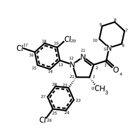 C[C@H]1C(C(=O)N2CCCCC2)=NN(c2ccc(Cl)cc2Cl)[C@H]1c1ccc(Cl)cc1